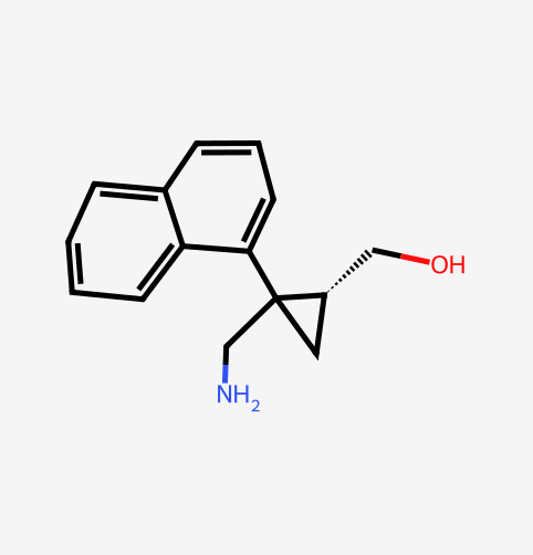 NCC1(c2cccc3ccccc23)C[C@H]1CO